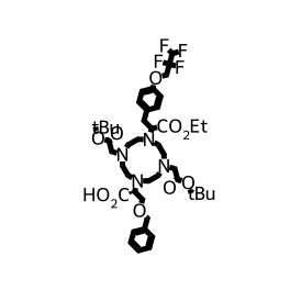 CCOC(=O)C(Cc1ccc(OCC(F)(F)C(F)F)cc1)N1CCN(CC(=O)OC(C)(C)C)CCN([C@@H](COCc2ccccc2)C(=O)O)CCN(CC(=O)OC(C)(C)C)CC1